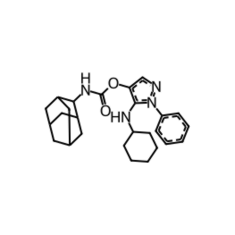 O=C(NC1C2CC3CC(C2)CC1C3)Oc1cnn(-c2ccccc2)c1NC1CCCCC1